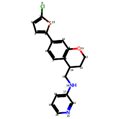 Clc1ccc(-c2ccc3c(c2)OCCC3CNc2cccnc2)s1